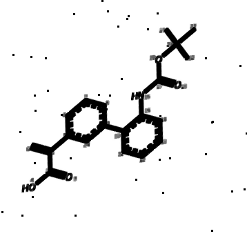 C=C(C(=O)O)c1cccc(-c2ccccc2NC(=O)OC(C)(C)C)c1